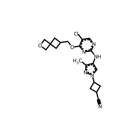 Cc1nn(C2CC(C#N)C2)cc1Nc1ncc(Cl)c(OCC2CC3(COC3)C2)n1